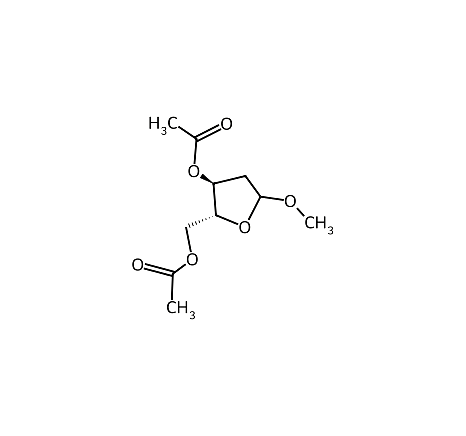 COC1C[C@H](OC(C)=O)[C@@H](COC(C)=O)O1